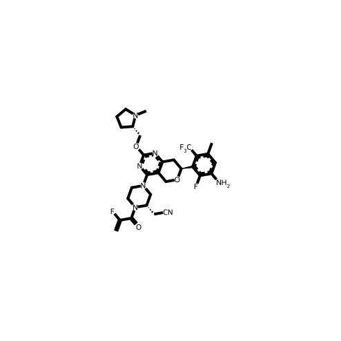 C=C(F)C(=O)N1CCN(c2nc(OC[C@@H]3CCCN3C)nc3c2CO[C@H](c2c(F)c(N)cc(C)c2C(F)(F)F)C3)C[C@@H]1CC#N